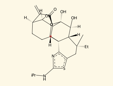 C=C1C(=O)[C@]23[C@H](O)[C@H]1CC[C@H]2[C@@]12CO[C@@]3(O)[C@@H](O)[C@@H]1[C@](C)(CC)Cc1sc(NC(C)C)nc12